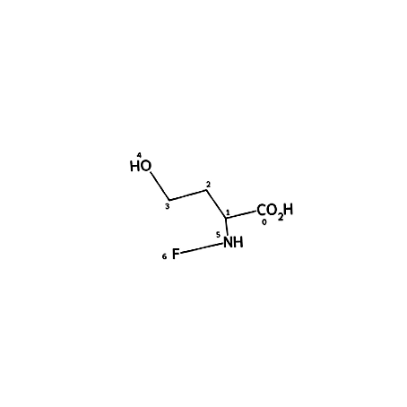 O=C(O)C(CCO)NF